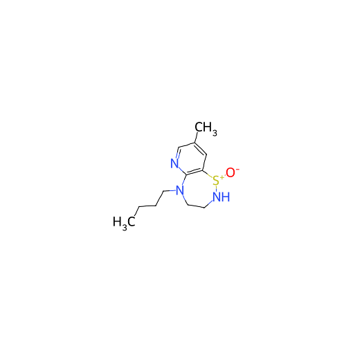 CCCCN1CCN[S+]([O-])c2cc(C)cnc21